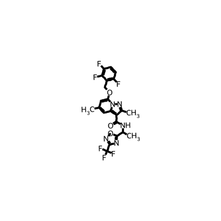 Cc1cc(OCc2c(F)ccc(F)c2F)n2nc(C)c(C(=O)NC(C)c3nc(C(F)(F)F)no3)c2c1